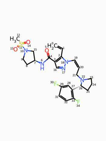 C=Cc1c(C(=O)N[C@H]2CCN(S(C)(=O)=O)C2)cnn1/C=C\CN1CCC[C@@H]1c1cc(F)ccc1F